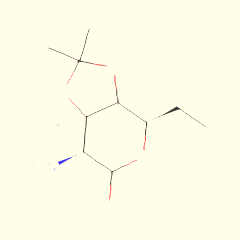 CC[C@H]1OC(O)[C@@H](N)[C@H]2OC(C)(C)O[C@H]21